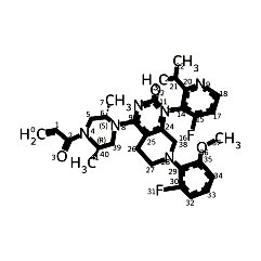 C=CC(=O)N1C[C@H](C)N(c2nc(=O)n(-c3c(F)ccnc3C(C)C)c3c2CCN(c2c(F)cccc2OC)C3)C[C@H]1C